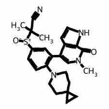 Cn1cc(-c2cc([S+]([O-])C(C)(C)C#N)ccc2N2CCC3(CC2)CC3)c2cc[nH]c2c1=O